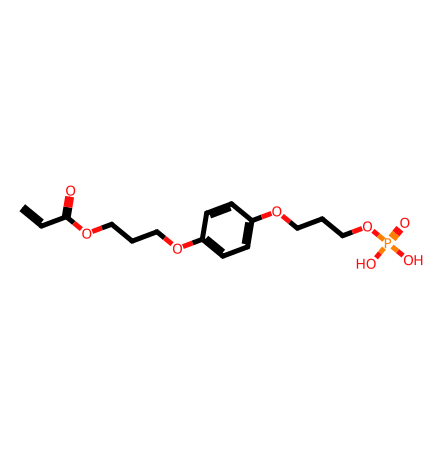 C=CC(=O)OCCCOc1ccc(OCCCOP(=O)(O)O)cc1